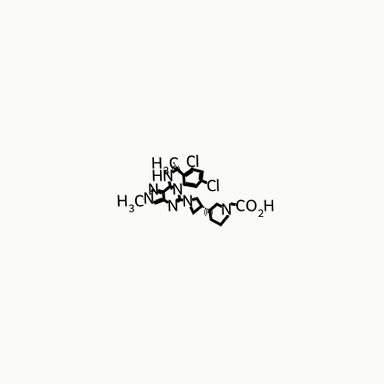 C[C@@H](Nc1nc(N2CC([C@H]3CCCN(CC(=O)O)C3)C2)nc2cn(C)nc12)c1ccc(Cl)cc1Cl